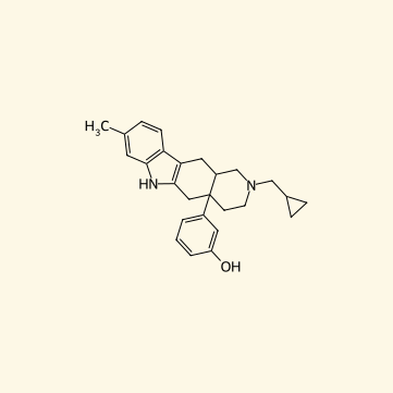 Cc1ccc2c3c([nH]c2c1)CC1(c2cccc(O)c2)CCN(CC2CC2)CC1C3